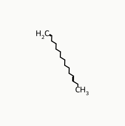 C=CCCCCCCCCC/C=C/CC